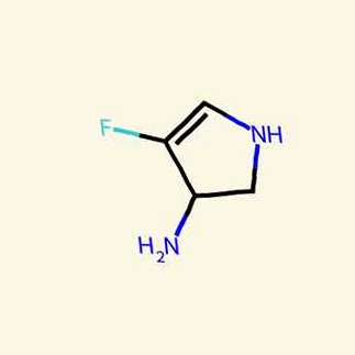 NC1CNC=C1F